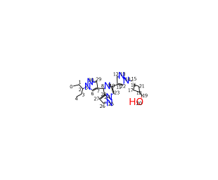 CCC(CC)n1cc(-c2nc(-c3cnn(C[C@H]4C[C@H](CO)C4)c3)cn3nccc23)cn1